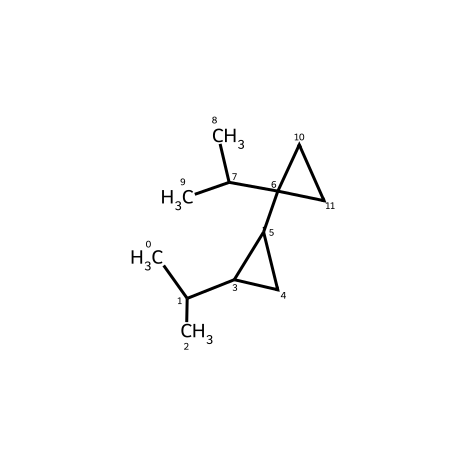 CC(C)C1C[C]1C1(C(C)C)CC1